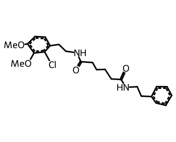 COc1ccc(CCNC(=O)CCCCC(=O)NCCc2ccccc2)c(Cl)c1OC